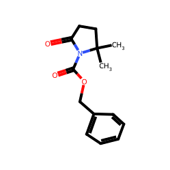 CC1(C)CCC(=O)N1C(=O)OCc1ccccc1